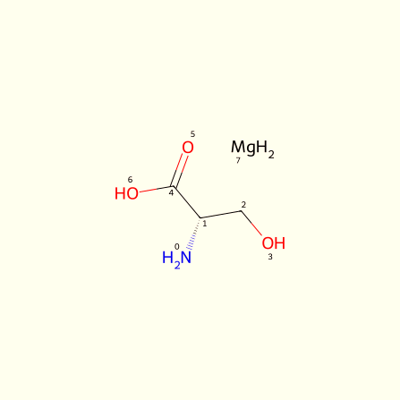 N[C@@H](CO)C(=O)O.[MgH2]